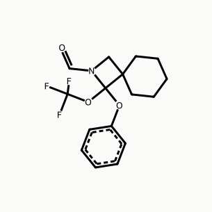 O=CN1CC2(CCCCC2)C1(Oc1ccccc1)OC(F)(F)F